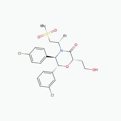 CC[C@@H](CS(=O)(=O)C(C)(C)C)N1C(=O)[C@H](CCO)O[C@H](c2cccc(Cl)c2)[C@H]1c1ccc(Cl)cc1